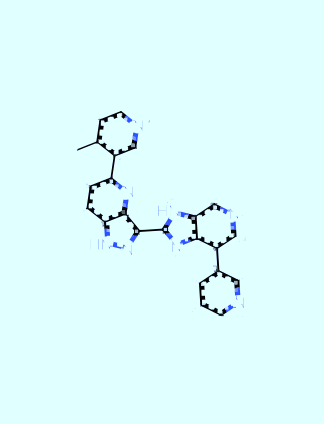 Cc1ccncc1-c1ccc2[nH]nc(-c3nc4c(-c5cccnc5)cncc4[nH]3)c2n1